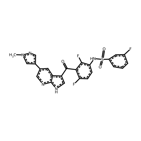 Cn1cc(-c2cnc3[nH]cc(C(=O)c4c(F)ccc(NS(=O)(=O)c5cccc(F)c5)c4F)c3c2)cn1